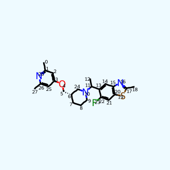 Cc1cc(OC[C@H]2CCCN(C(C)c3cc4nc(C)sc4cc3F)C2)cc(C)n1